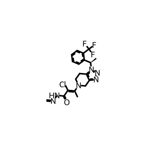 C=NNC(=O)/C(Cl)=C(\C)N1CCc2c(nnn2[C@H](C)c2ccccc2C(F)(F)F)C1